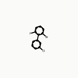 Fc1cccc(Br)c1-c1cccc(Cl)c1